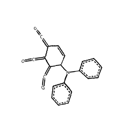 O=C=C1C=CC(N(c2ccccc2)c2ccccc2)C(=C=O)C1=C=O